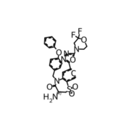 N[C@H]1CS(=O)(=O)c2ccc(-c3nnc(N4CCOC(F)(F)C4)o3)cc2N(Cc2ccc(Oc3ccccc3)cc2)C1=O